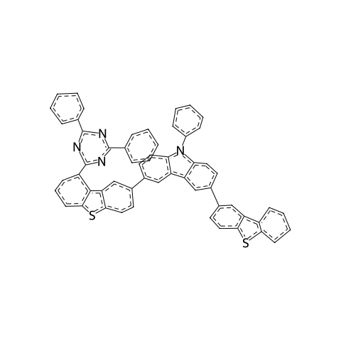 c1ccc(-c2nc(-c3ccccc3)nc(-c3cccc4sc5ccc(-c6ccc7c(c6)c6cc(-c8ccc9sc%10ccccc%10c9c8)ccc6n7-c6ccccc6)cc5c34)n2)cc1